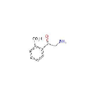 NCC(=O)c1ccccc1C(=O)O